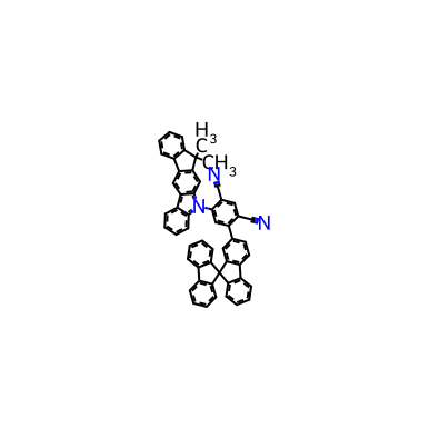 CC1(C)c2ccccc2-c2cc3c4ccccc4n(-c4cc(-c5ccc6c(c5)C5(c7ccccc7-c7ccccc75)c5ccccc5-6)c(C#N)cc4C#N)c3cc21